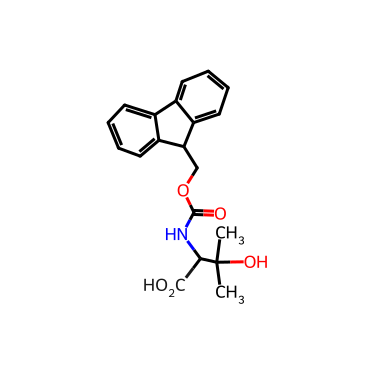 CC(C)(O)C(NC(=O)OCC1c2ccccc2-c2ccccc21)C(=O)O